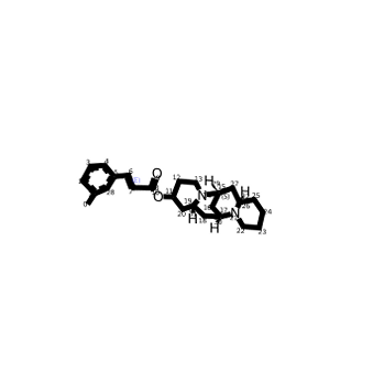 Cc1cccc(/C=C/C(=O)OC2CCN3[C@@H]4C[C@@H](C[C@@H]3C2)N2CCCC[C@@H]2C4)c1